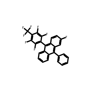 Fc1ccc2c(-c3c(F)c(F)c(C(F)(F)F)c(F)c3F)c3ccccc3c(-c3ccccc3)c2c1